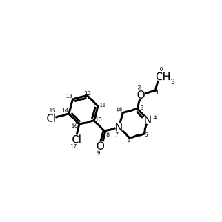 CCOC1=NCCN(C(=O)c2cccc(Cl)c2Cl)C1